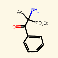 CCOC(=O)C(N)(C(C)=O)C(=O)c1ccccc1